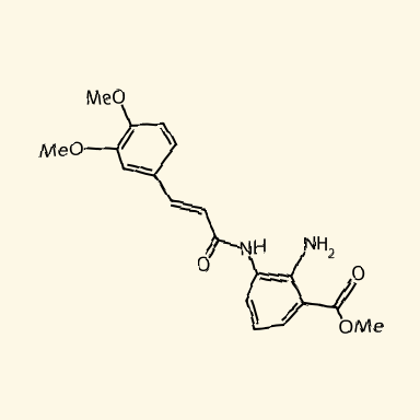 COC(=O)c1cccc(NC(=O)/C=C/c2ccc(OC)c(OC)c2)c1N